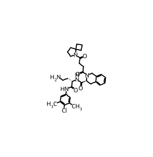 Cc1cc(NC(=O)[C@H](CCN)NC(=O)[C@@H]2Cc3ccccc3CN2C(=O)CCC(=O)N2CCCC23CCC3)cc(C)c1Cl